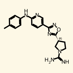 Cc1ccc(Nc2ccc(-c3noc([C@@H]4CCN(C(=N)N)C4)n3)cn2)cc1